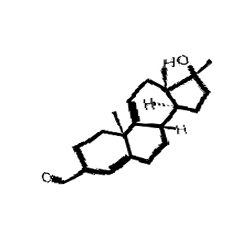 C[C@]12CCC(C=O)C=C1CC[C@@H]1C2=CC[C@@]2(C)[C@H]1CC[C@@]2(C)O